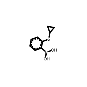 OB(O)c1ccccc1SC1CC1